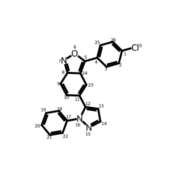 Clc1ccc(-c2onc3ccc(-c4ccnn4-c4ccccc4)cc23)cc1